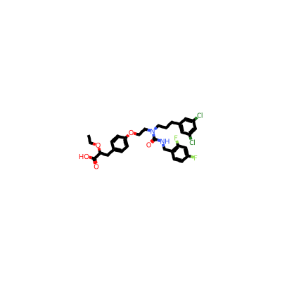 CCOC(Cc1ccc(OCCN(CCCc2cc(Cl)cc(Cl)c2)C(=O)NCc2ccc(F)cc2F)cc1)C(=O)O